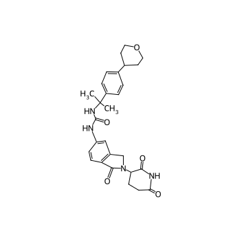 CC(C)(NC(=O)Nc1ccc2c(c1)CN(C1CCC(=O)NC1=O)C2=O)c1ccc(C2CCOCC2)cc1